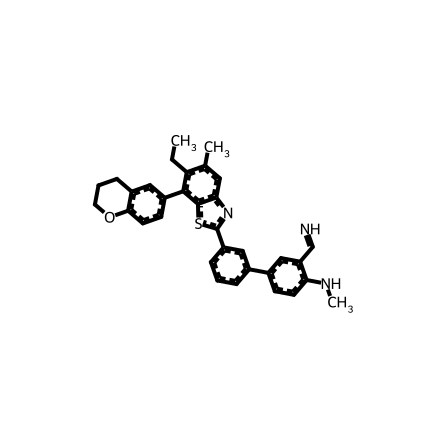 CCc1c(C)cc2nc(-c3cccc(-c4ccc(NC)c(C=N)c4)c3)sc2c1-c1ccc2c(c1)CCCO2